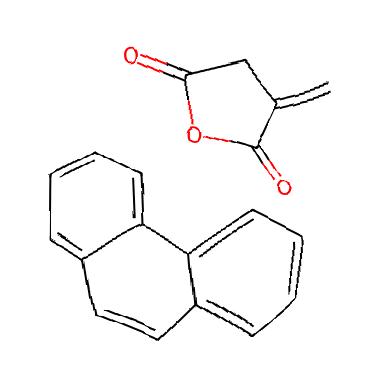 C=C1CC(=O)OC1=O.c1ccc2c(c1)ccc1ccccc12